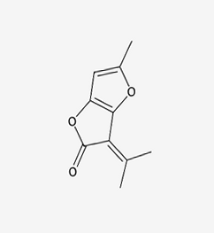 CC(C)=C1C(=O)Oc2cc(C)oc21